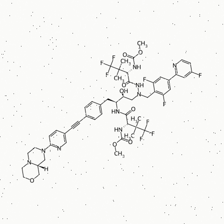 COC(=O)N[C@H](C(=O)N[C@@H](Cc1ccc(C#Cc2ccc(N3CCN4CCOC[C@H]4C3)nc2)cc1)[C@@H](O)CN(Cc1c(F)cc(-c2cc(F)ccn2)cc1F)NC(=O)[C@@H](NC(=O)OC)C(C)(C)C(F)(F)F)C(C)(C)C(F)(F)F